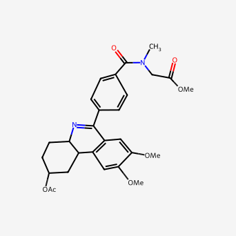 COC(=O)CN(C)C(=O)c1ccc(C2=NC3CCC(OC(C)=O)CC3c3cc(OC)c(OC)cc32)cc1